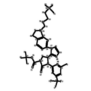 Cc1cc(C(F)(F)F)cc(N2C(=O)N(C(=O)OC(C)(C)C)C[C@H]2c2nccn2-c2ccc3c(n2)N(COCC[Si](C)(C)C)CC3)n1